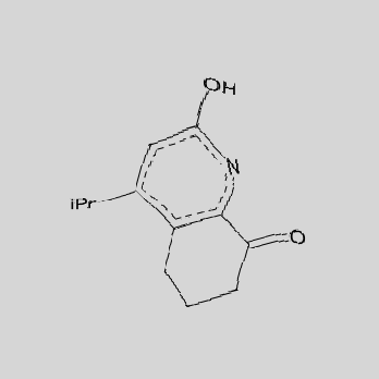 CC(C)c1cc(O)nc2c1CCCC2=O